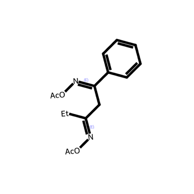 CC/C(C/C(=N\OC(C)=O)c1ccccc1)=N\OC(C)=O